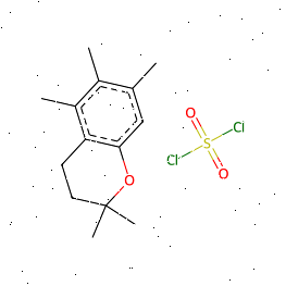 Cc1cc2c(c(C)c1C)CCC(C)(C)O2.O=S(=O)(Cl)Cl